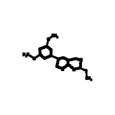 COc1cc(OC)cc(-c2cnc3nc(SC)ncc3c2)c1